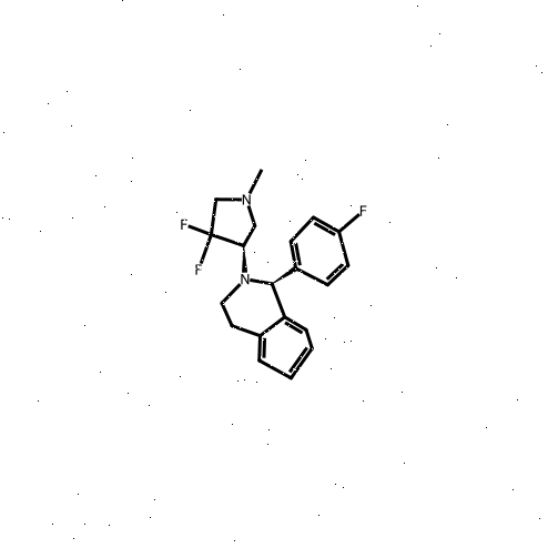 CN1C[C@@H](N2CCc3ccccc3[C@@H]2c2ccc(F)cc2)C(F)(F)C1